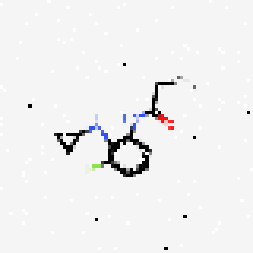 CCC(=O)Nc1cccc(F)c1NC1CC1